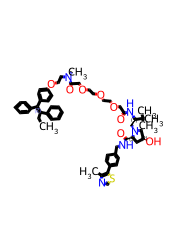 CC/C(=C(\c1ccccc1)c1ccc(OCCN(C)C(=O)COCCOCCOCC(=O)N[C@H](CN2C[C@H](O)C[C@H]2C(=O)NCc2ccc(-c3scnc3C)cc2)C(C)(C)C)cc1)c1ccccc1